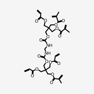 C=CC(=O)OCC(COC(=O)C=C)(COC(=O)NCNC(=O)OCC(COC(=O)C=C)(COC(=O)C(=C)C)COC(=O)C(=C)C)COC(=O)C(=C)C